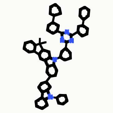 CC1(C)c2ccccc2-c2cc3c4cc(-c5ccc6c7ccccc7n(-c7ccccc7)c6c5)ccc4n(-c4cccc(-c5nc(-c6cccc(-c7ccccc7)c6)nc(-c6cccc(-c7ccccc7)c6)n5)c4)c3cc21